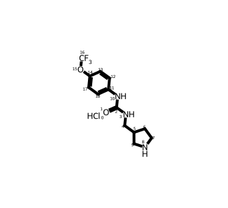 Cl.O=C(NCC1CCNC1)Nc1ccc(OC(F)(F)F)cc1